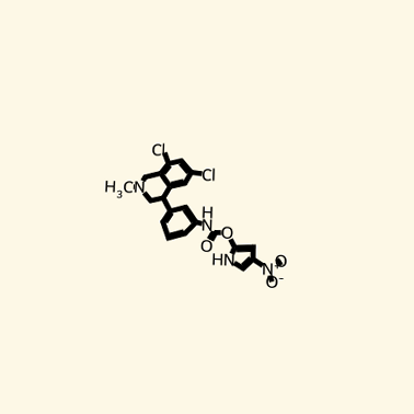 CN1Cc2c(Cl)cc(Cl)cc2C(c2cccc(NC(=O)Oc3cc([N+](=O)[O-])c[nH]3)c2)C1